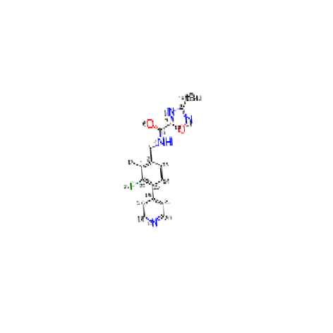 Cc1c(CNC(=O)c2nc(C(C)(C)C)no2)ccc(-c2[c]cncc2)c1F